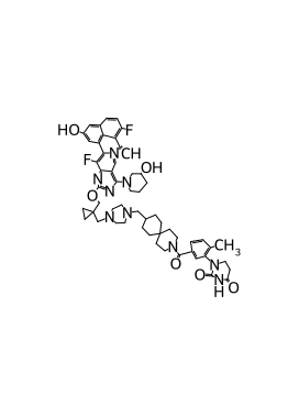 C#Cc1c(F)ccc2cc(O)cc(-c3ncc4c(N5CCC[C@@H](O)C5)nc(OCC5(CN6CCN(CC7CCC8(CC7)CCN(C(=O)c7ccc(C)c(N9CCC(=O)NC9=O)c7)CC8)CC6)CC5)nc4c3F)c12